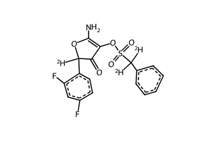 [2H]C1(c2ccc(F)cc2F)OC(N)=C(OS(=O)(=O)C([2H])([2H])c2ccccc2)C1=O